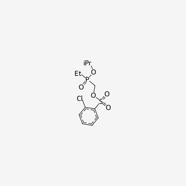 CCP(=O)(COS(=O)(=O)c1ccccc1Cl)OC(C)C